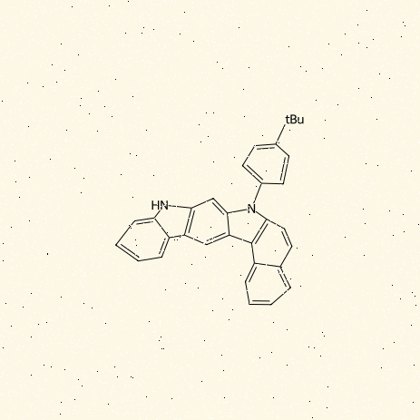 CC(C)(C)c1ccc(-n2c3cc4[nH]c5ccccc5c4cc3c3c4ccccc4ccc32)cc1